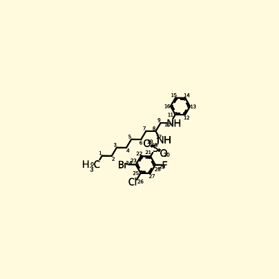 CCCCCCCCC(CNc1ccccc1)NS(=O)(=O)c1cc(Br)c(Cl)cc1F